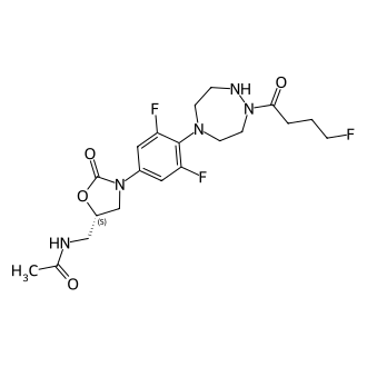 CC(=O)NC[C@H]1CN(c2cc(F)c(N3CCNN(C(=O)CCCF)CC3)c(F)c2)C(=O)O1